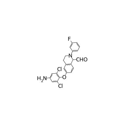 Nc1cc(Cl)c(Oc2ccc3c(c2)CCN(c2cccc(F)c2)C3C=O)c(Cl)c1